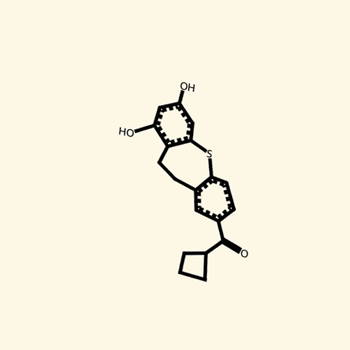 O=C(c1ccc2c(c1)CCc1c(O)cc(O)cc1S2)C1CCC1